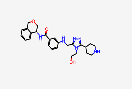 O=C(N[C@@H]1COCc2ccccc21)c1cccc(NCc2nnc(C3CCNCC3)n2CCO)c1